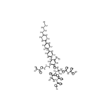 C=C(C)C(=O)OCCCc1cc(-c2ccc(-c3ccc(C4CCC(CCCCC)CC4)cc3)cc2)c(CC)cc1OCC(COC(=O)CC(=O)OC)(COC(=O)CC(=O)OC)COC(=O)C(=C)C